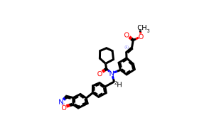 [2H]C(c1ccc(-c2ccc3oncc3c2)cc1)N(C(=O)C1CCCCC1)c1cccc(/C=C/C(=O)OC)c1